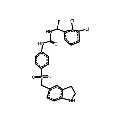 C[C@H](NC(=O)Nc1ccc(S(=O)(=O)Cc2ccc3c(c2)CCN3)cc1)c1cccc(Cl)c1Cl